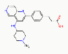 CN1CCC(Nc2cc(-c3ccc(CCC(=O)O)cc3)nc3ccncc23)CC1